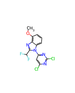 COc1cccc2c1nc(C(F)F)n2-c1cc(Cl)nc(Cl)n1